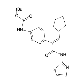 CC(C)(C)OC(=O)Nc1ccc(/C(=C\C2CCCC2)C(=O)Nc2nccs2)cn1